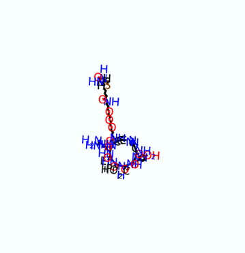 CC[C@@H]1NC(=O)[C@H](CC(C)C)NC(=O)[C@H](CC(=O)O)NC(=O)[C@H](Cc2ccc(O)cc2)NC(=O)[C@@H](N)Cc2cn(nn2)CCCC[C@@H](C(=O)NCCCOCCOCCOCCCNC(=O)CCCC[C@H]2SC[C@H]3NC(=O)N[C@H]32)NC(=O)[C@H](CCCNC(=N)N)NC1=O